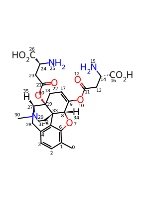 Cc1ccc2c3c1O[C@H]1C(OC(=O)C[C@H](N)C(=O)O)=CC[C@@]4(OC(=O)C[C@H](N)C(=O)O)[C@@H](C2)N(C)CC[C@]314